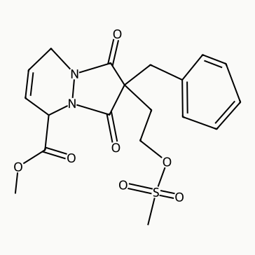 COC(=O)C1C=CCN2C(=O)C(CCOS(C)(=O)=O)(Cc3ccccc3)C(=O)N12